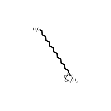 CCCCCCCCCCCCCCCCN(OC)OC